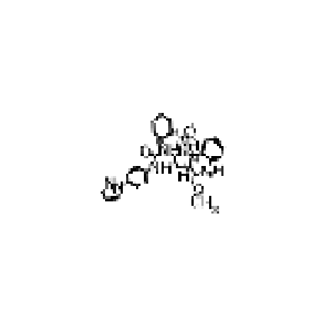 COC[C@@H]1Nc2ccccc2[C@H]2[C@@H]1CCN2C(=O)[C@H]1CCCC[C@H]1NC(=O)Nc1ccc(-n2cccn2)cc1